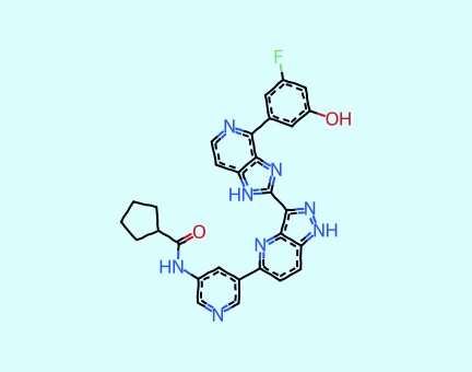 O=C(Nc1cncc(-c2ccc3[nH]nc(-c4nc5c(-c6cc(O)cc(F)c6)nccc5[nH]4)c3n2)c1)C1CCCC1